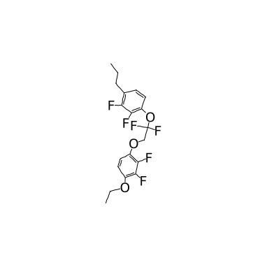 CCCc1ccc(OC(F)(F)COc2ccc(OCC)c(F)c2F)c(F)c1F